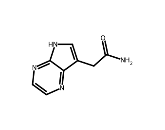 NC(=O)Cc1c[nH]c2nccnc12